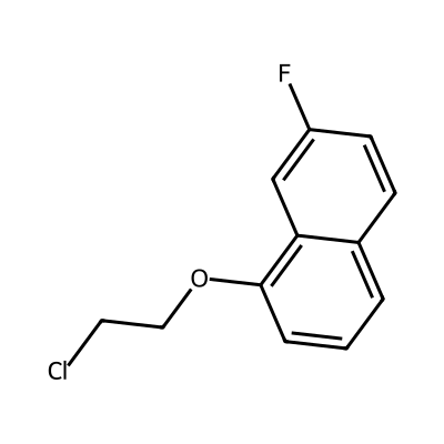 Fc1ccc2cccc(OCCCl)c2c1